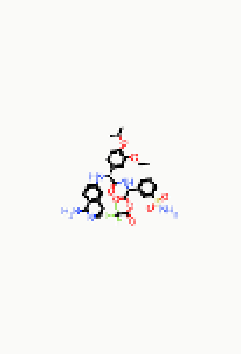 CCOc1cc(C(Nc2ccc3c(N)nccc3c2)C(=O)NC(C(=O)OC(=O)C(F)(F)F)c2cccc(S(N)(=O)=O)c2)ccc1OC(C)C